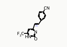 N#Cc1ccc(/C=C/c2cc(C(F)(F)F)[nH]c(=O)n2)cc1